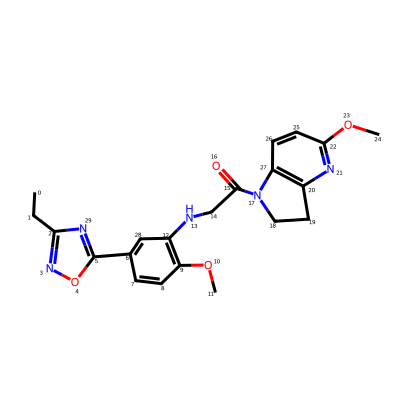 CCc1noc(-c2ccc(OC)c(NCC(=O)N3CCc4nc(OC)ccc43)c2)n1